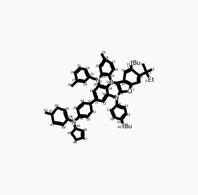 CCC(C)(C)c1cc2oc3c(c2cc1C(C)(C)C)B1c2ccc(C)cc2N(c2cccc(C)c2)c2cc(C4C=CC(N(C5=CCC(C)C=C5)C5C=CCC5)=CC4)cc(c21)N3c1ccc(C(C)(C)C)cc1